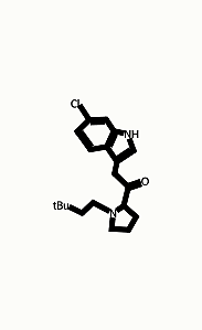 CC(C)(C)CCN1CCCC1C(=O)Cc1c[nH]c2cc(Cl)ccc12